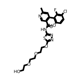 COc1ccc(Cl)c(F)c1-c1cc(C)ncc1C(=O)Nc1nnc(OCCOCCOCCO)s1